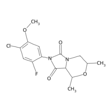 COc1cc(N2C(=O)C3C(C)OC(C)CN3C2=O)c(F)cc1Cl